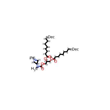 CCCCCCCCCCCCCCCCCC(=O)OCC(COC(=O)N(C)C1CN(C(C)C)C1)OC(=O)CCCCCCCCCCCCCCCCC